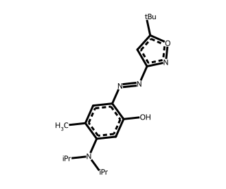 Cc1cc(N=Nc2cc(C(C)(C)C)on2)c(O)cc1N(C(C)C)C(C)C